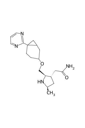 C[C@@H]1C[C@@H](CC(N)=O)[C@H](COC2CCC3(c4ncccn4)CC3C2)N1